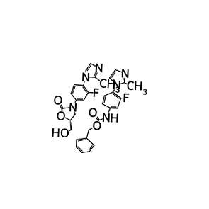 Cc1nccn1-c1ccc(N2C[C@@H](CO)OC2=O)cc1F.Cc1nccn1-c1ccc(NC(=O)OCc2ccccc2)cc1F